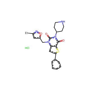 CCc1cc(Cn2c(=O)n(C3CCNCC3)c(=O)c3sc(-c4ccccc4)cc32)on1.Cl